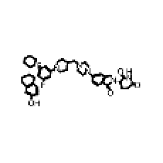 O=C1CC[C@H](N2Cc3cc(N4CCN(CC5CCN(c6cc(F)c([C@@H]7c8ccc(O)cc8CC[C@@H]7C7CCCCC7)c(F)c6)CC5)CC4)ccc3C2=O)C(=O)N1